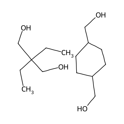 CCC(CC)(CO)CO.OCC1CCC(CO)CC1